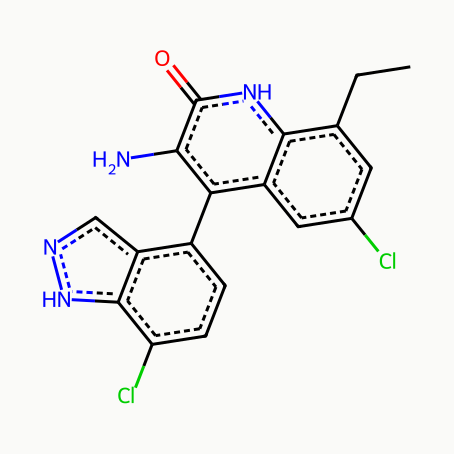 CCc1cc(Cl)cc2c(-c3ccc(Cl)c4[nH]ncc34)c(N)c(=O)[nH]c12